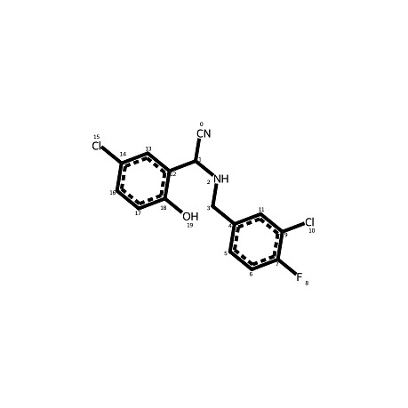 N#CC(NCc1ccc(F)c(Cl)c1)c1cc(Cl)ccc1O